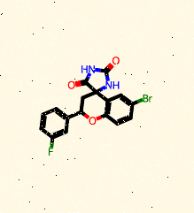 O=C1NC(=O)C2(CC(c3cccc(F)c3)Oc3ccc(Br)cc32)N1